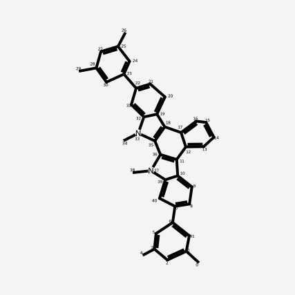 Cc1cc(C)cc(-c2ccc3c4c5ccccc5c5c6ccc(-c7cc(C)cc(C)c7)cc6n(C)c5c4n(C)c3c2)c1